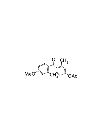 COc1ccc(C(=O)c2ccc(OC(C)=O)cc2C)c(C)c1